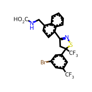 O=C(O)NCc1ccc(C2=NSC(c3cc(Br)cc(C(F)(F)F)c3)(C(F)(F)F)C2)c2ccccc12